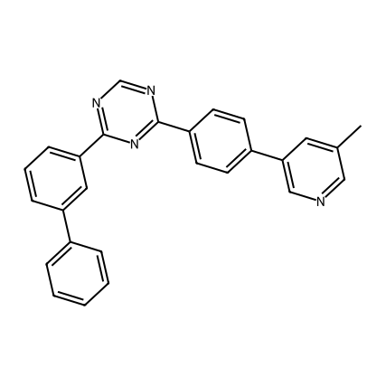 Cc1cncc(-c2ccc(-c3ncnc(-c4cccc(-c5ccccc5)c4)n3)cc2)c1